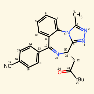 Cc1nnc2n1-c1ccccc1C(c1ccc(C#N)cc1)=N[C@H]2CC(=O)C(C)(C)C